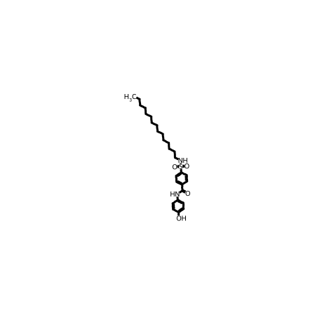 CCCCCCCCCCCCCCCNS(=O)(=O)c1ccc(C(=O)Nc2ccc(O)cc2)cc1